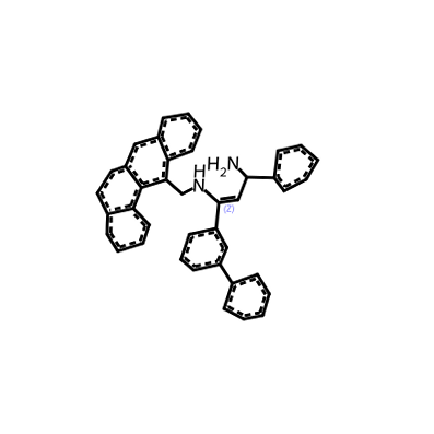 NC(/C=C(\NCc1c2ccccc2cc2ccc3ccccc3c12)c1cccc(-c2ccccc2)c1)c1ccccc1